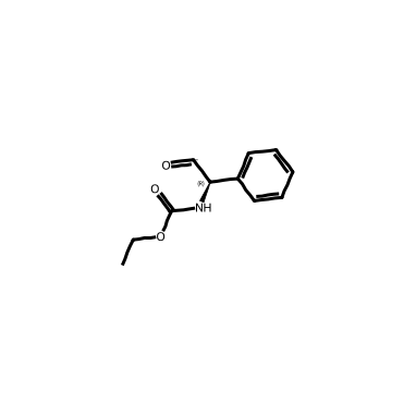 CCOC(=O)N[C@@H]([C]=O)c1ccccc1